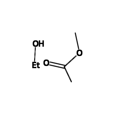 CCO.COC(C)=O